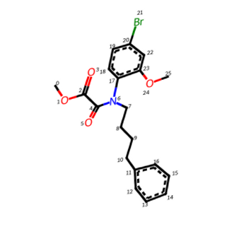 COC(=O)C(=O)N(CCCCc1ccccc1)c1ccc(Br)cc1OC